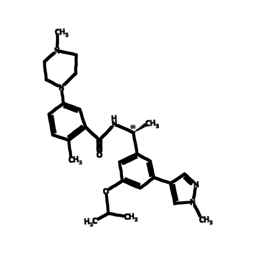 Cc1ccc(N2CCN(C)CC2)cc1C(=O)N[C@H](C)c1cc(OC(C)C)cc(-c2cnn(C)c2)c1